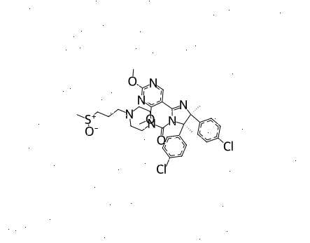 COc1ncc(C2=N[C@@](C)(c3ccc(Cl)cc3)[C@@](C)(c3ccc(Cl)cc3)N2C(=O)N2CCN(CCC[S+](C)[O-])CC2)c(OC)n1